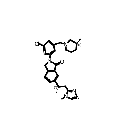 C[C@H]1CCCN(Cc2cc(Cl)nc(N3Cc4ccc([C@@H](C)Cc5nncn5C)cc4C3=O)c2)C1